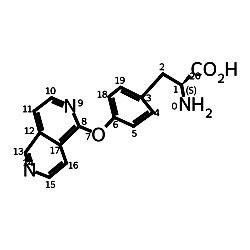 N[C@@H](Cc1ccc(Oc2nccc3cnccc23)cc1)C(=O)O